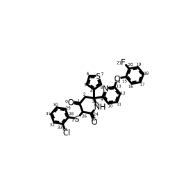 O=C1CC(c2ccsc2)(c2cccc(Oc3ccccc3F)n2)NC(=O)C1Sc1ccccc1Cl